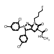 CNC(=O)c1cc2c(-c3ccc(Cl)cc3)n(-c3ccc(Cl)cc3Cl)nc2n(CCCCF)c1=O